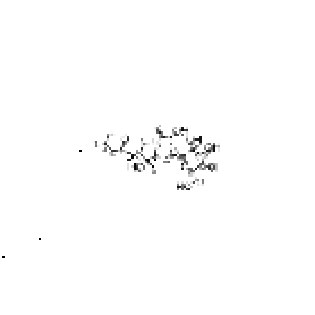 C=C(CO)[C@H]1C[C@H](OC(=O)CC(C)C)[C@@](C)(O)[C@H]1CO[C@@H]1O[C@H](CO)[C@@H](O)[C@H](O)[C@H]1O